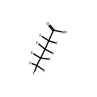 [NH]C(=O)C(F)(F)C(F)(F)C(F)(F)C(F)(F)F